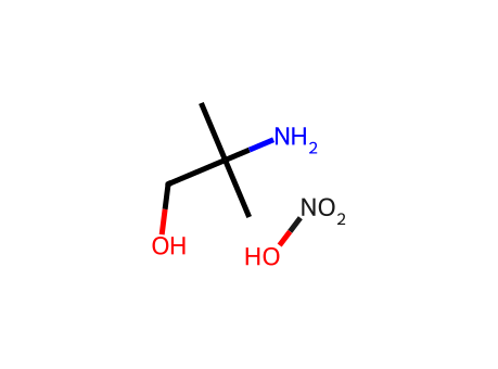 CC(C)(N)CO.O=[N+]([O-])O